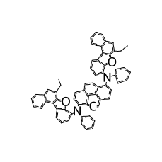 CCc1cc2ccccc2c2c1oc1c(N(c3ccccc3)c3ccc4ccc5c(N(c6ccccc6)c6cccc7c6oc6c(CC)cc8ccccc8c67)ccc6ccc3c4c65)cccc12